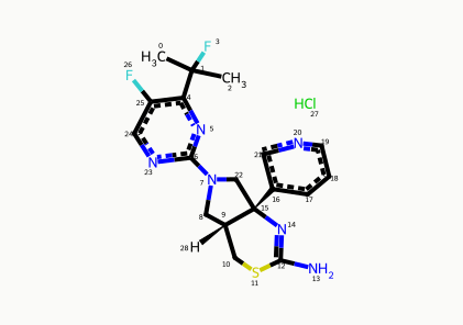 CC(C)(F)c1nc(N2C[C@H]3CSC(N)=N[C@@]3(c3cccnc3)C2)ncc1F.Cl